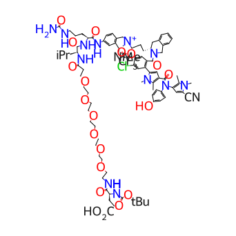 CNCc1cc(NC(=O)[C@H](CCCNC(N)=O)NC(=O)[C@@H](NC(=O)CCOCCOCCOCCOCCOCCOCCNC(=O)[C@H](CCC(=O)O)NC(=O)OC(C)(C)C)C(C)C)ccc1C[N+](C)(C)C(CC[C@@H]1Cc2ccccc2CN1C(=O)c1ccc(Cl)cc1-c1cc(C(=O)N(c2ccc(O)cc2)c2cc(C#N)n(C)c2C)c(C)n1C)OC(=O)C(F)(F)F